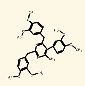 COc1ccc(Cc2nc(N)c(-c3ccc(OC)c(OC)c3)c(Cc3ccc(OC)c(OC)c3)n2)cc1OC